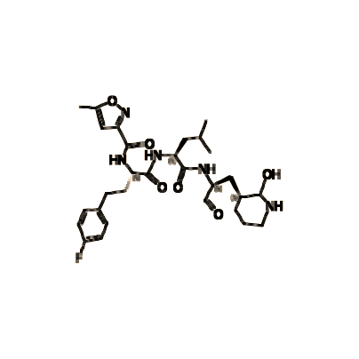 Cc1cc(C(=O)N[C@@H](CCc2ccc(F)cc2)C(=O)N[C@@H](CC(C)C)C(=O)N[C@H](C=O)C[C@@H]2CCCNC2O)no1